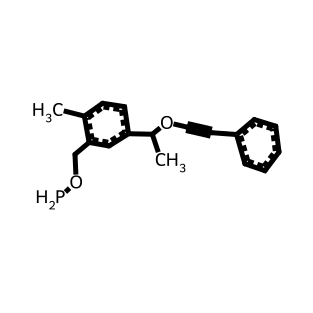 Cc1ccc(C(C)OC#Cc2ccccc2)cc1COP